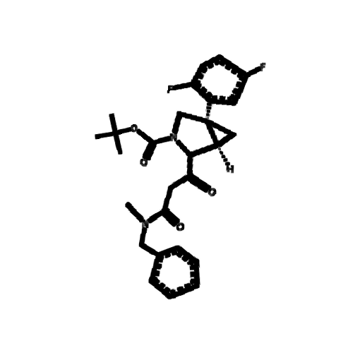 CN(Cc1ccccc1)C(=O)CC(=O)C1[C@@H]2C[C@]2(c2cc(F)ccc2F)CN1C(=O)OC(C)(C)C